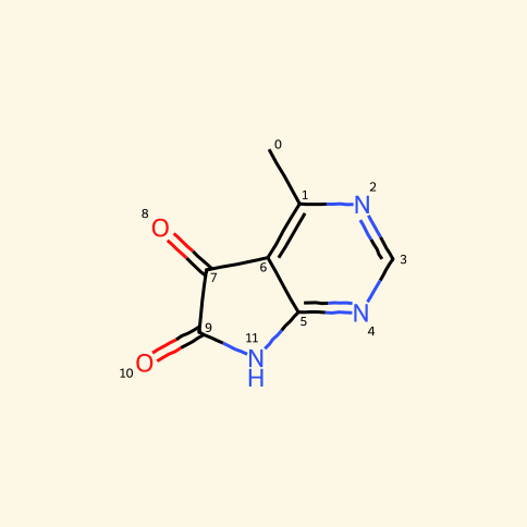 Cc1ncnc2c1C(=O)C(=O)N2